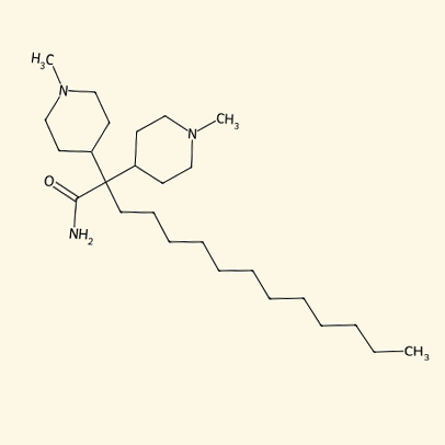 CCCCCCCCCCCCC(C(N)=O)(C1CCN(C)CC1)C1CCN(C)CC1